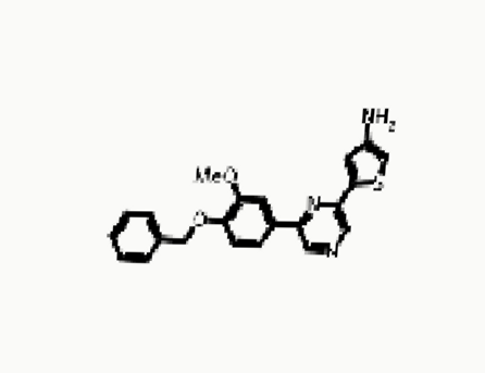 COc1cc(-c2cncc(-c3cc(N)cs3)n2)ccc1OCc1ccccc1